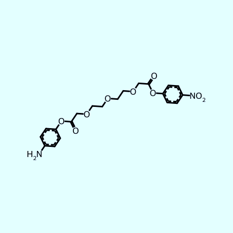 Nc1ccc(OC(=O)COCCOCCOCC(=O)Oc2ccc([N+](=O)[O-])cc2)cc1